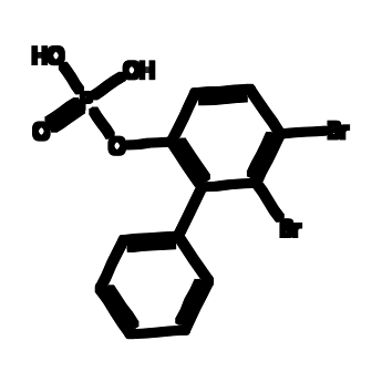 O=P(O)(O)Oc1ccc(Br)c(Br)c1-c1ccccc1